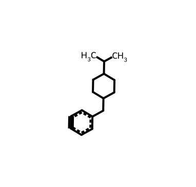 CC(C)C1CCC(Cc2cc#ccc2)CC1